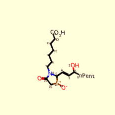 CCCCCC(O)C=CC1N(CCCCCCC(=O)O)C(=O)C[S+]1[O-]